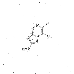 CCOC(=O)c1cc2c(C(F)(F)F)c(F)ccc2[nH]1